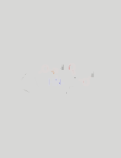 CC(C)OC(=O)[C@@H](C)N[P@](Oc1ccccc1)C(C)C